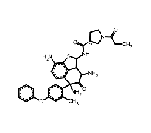 C=CC(=O)N1CC[C@H](C(=O)NC2Sc3c(N)ccc4c3C2C(N)C(=O)C4(N)c2ccc(Oc3ccccc3)cc2C)C1